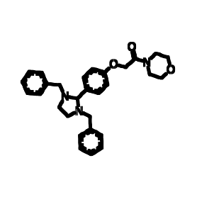 O=C(COc1ccc(C2N(Cc3ccccc3)CCN2Cc2ccccc2)cc1)N1CCOCC1